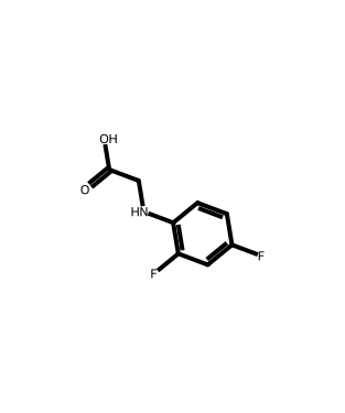 O=C(O)CNc1ccc(F)cc1F